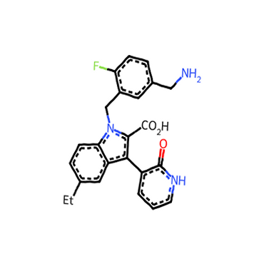 CCc1ccc2c(c1)c(-c1ccc[nH]c1=O)c(C(=O)O)n2Cc1cc(CN)ccc1F